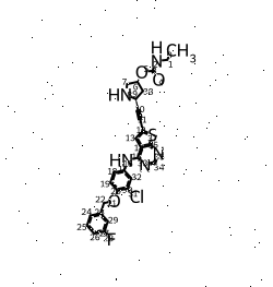 CCNC(=O)O[C@H]1CN[C@H](C#Cc2cc3c(Nc4ccc(OCc5cccc(F)c5)c(Cl)c4)ncnc3s2)C1